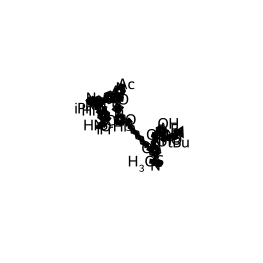 CC(=O)N1CCC2(CC1)C(=O)N([C@H]1C[C@@H](N3CCC[C@@H](C(=O)NCCCCCCCOc4cc(-c5scnc5C)ccc4CNC(=O)[C@@H]4C[C@@H](O)CN4C(=O)[C@@H](NC(=O)C4(F)CC4)C(C)(C)C)C3)C1)c1cc(-c3cc4ncn(C(C)C)c4c(Nc4cc(C(=O)NC(C)C)c(C)cc4F)n3)ccc12